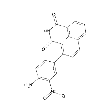 Nc1ccc(-c2ccc3cccc4c3c2C(=O)NC4=O)cc1[N+](=O)[O-]